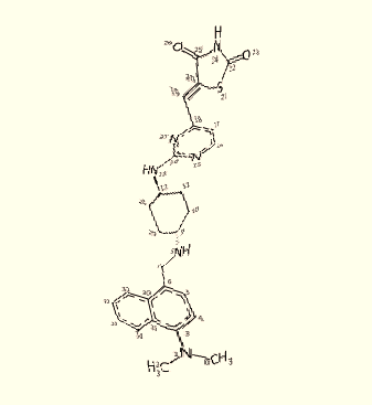 CN(C)c1ccc(CN[C@H]2CC[C@H](Nc3nccc(/C=C4\SC(=O)NC4=O)n3)CC2)c2ccccc12